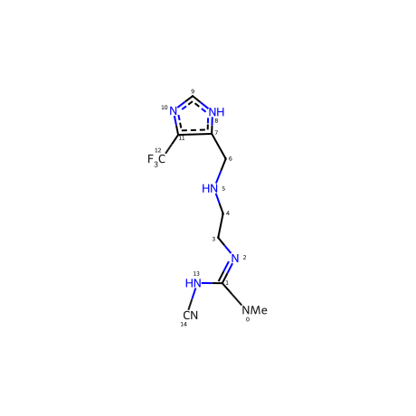 CN/C(=N/CCNCc1[nH]cnc1C(F)(F)F)NC#N